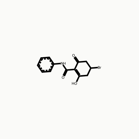 O=C1CC(Br)CC(O)=C1C(=O)Nc1ccccc1